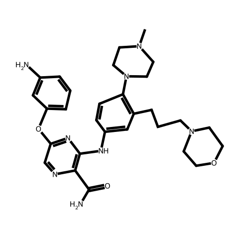 CN1CCN(c2ccc(Nc3nc(Oc4cccc(N)c4)cnc3C(N)=O)cc2CCCN2CCOCC2)CC1